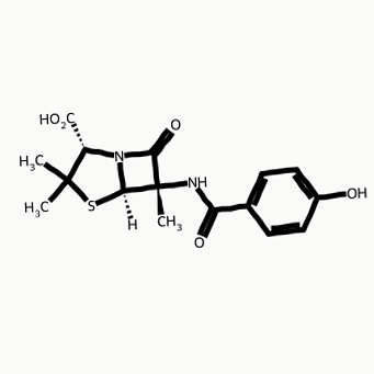 CC1(C)S[C@H]2N(C(=O)[C@]2(C)NC(=O)c2ccc(O)cc2)[C@H]1C(=O)O